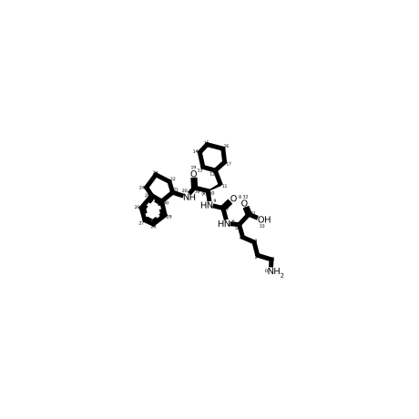 NCCCCC(NC(=O)N[C@H](CC1CCCCC1)C(=O)NC1CCCc2ccccc21)C(=O)O